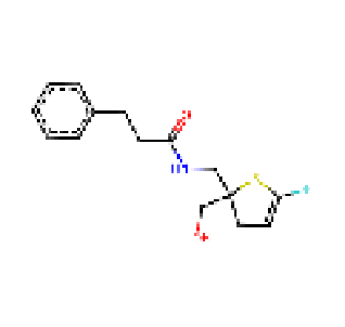 O=C(CCc1ccccc1)NCC1(CO)CC=C(F)S1